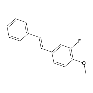 COc1ccc(/C=C/c2ccccc2)cc1F